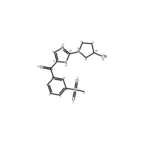 CS(=O)(=O)c1cccc(C(=O)c2cnc(N3CCC(C#N)C3)s2)c1